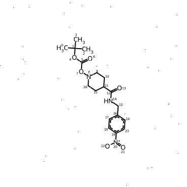 CC(C)(C)OC(=O)ON1CCC(C(=O)NCc2ccc([N+](=O)[O-])cc2)CC1